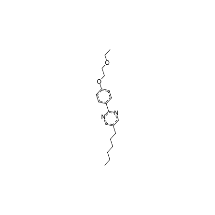 CCCCCCc1cnc(-c2ccc(OCCOCC)cc2)nc1